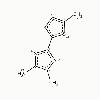 Cc1ccc(-c2nc(C)c(C)s2)s1